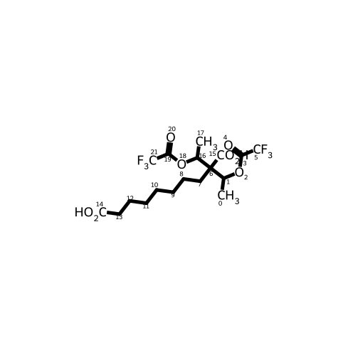 CC(OC(=O)C(F)(F)F)C(CCCCCCCC(=O)O)(C(=O)O)C(C)OC(=O)C(F)(F)F